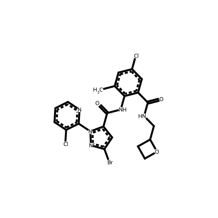 Cc1cc(Cl)cc(C(=O)NCC2CCO2)c1NC(=O)c1cc(Br)nn1-c1ncccc1Cl